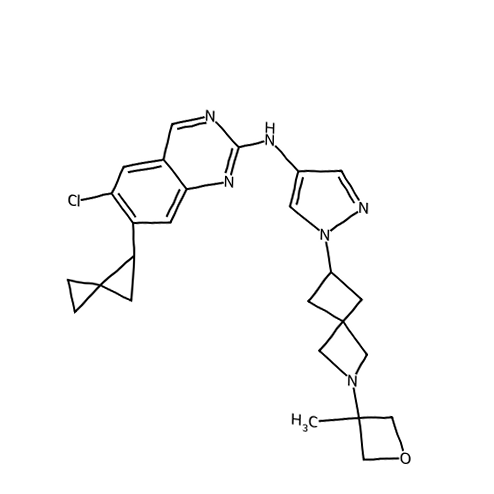 CC1(N2CC3(CC(n4cc(Nc5ncc6cc(Cl)c(C7CC78CC8)cc6n5)cn4)C3)C2)COC1